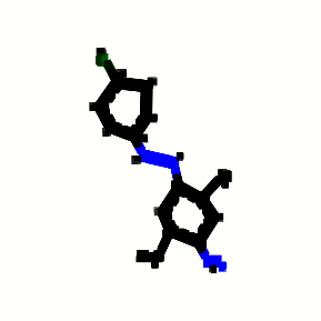 CCc1cc(N)c(OC)cc1/N=N/c1ccc(Cl)cc1